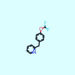 FC(F)Oc1ccc(Cc2cc[c]cn2)cc1